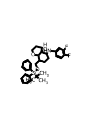 CC(C)(C)[Si](OCC1CCC(Nc2ccc(F)c(F)c2)C2(O)CCCOC12)(c1ccccc1)c1ccccc1